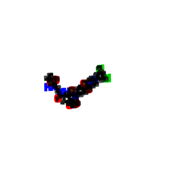 CN(c1ccc(C(=O)NCCNC(=O)OC(C)(C)C)cc1C(=O)Nc1ccc(S(=O)(=O)N2CCN(c3cc(Cl)cc(Cl)c3)CC2)cc1)S(C)(=O)=O